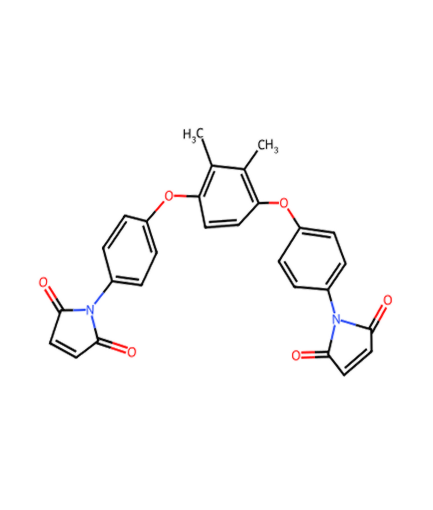 Cc1c(Oc2ccc(N3C(=O)C=CC3=O)cc2)ccc(Oc2ccc(N3C(=O)C=CC3=O)cc2)c1C